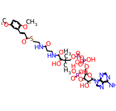 COc1ccc(OC)c(C=CC(=O)SCCNC(=O)CCNC(=O)[C@H](O)C(C)(C)COP(=O)(O)OP(=O)(O)OC[C@H]2O[C@@H](n3cnc4c(N)ncnc43)[C@H](O)[C@@H]2OP(=O)(O)O)c1